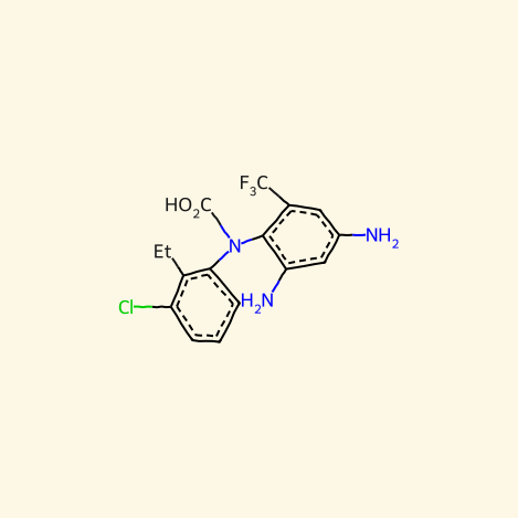 CCc1c(Cl)cccc1N(C(=O)O)c1c(N)cc(N)cc1C(F)(F)F